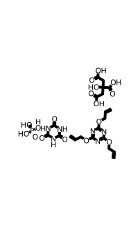 C=CCOc1nc(OCC=C)nc(OCC=C)n1.O=C(O)CC(O)(CC(=O)O)C(=O)O.O=P(O)(O)O.O=c1[nH]c(=O)[nH]c(=O)[nH]1